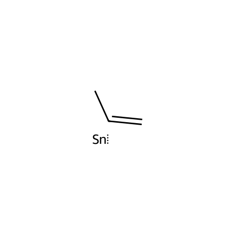 C=CC.[Sn]